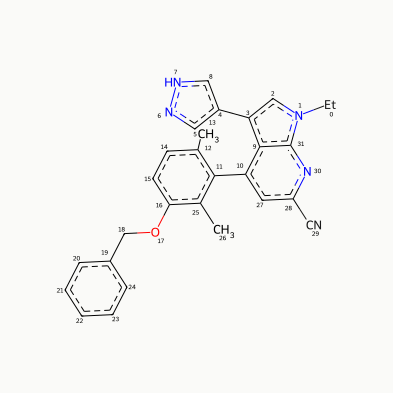 CCn1cc(-c2cn[nH]c2)c2c(-c3c(C)ccc(OCc4ccccc4)c3C)cc(C#N)nc21